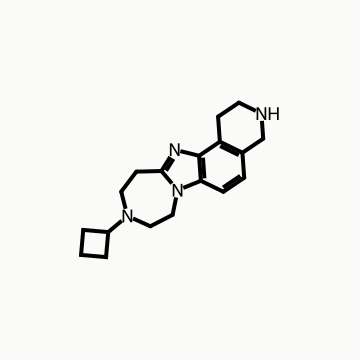 c1cc2c(nc3n2CCN(C2CCC2)CC3)c2c1CNCC2